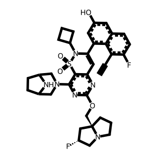 C#Cc1c(F)ccc2cc(O)cc(C3=Cc4nc(OC[C@@]56CCCN5C[C@H](F)C6)nc(N5CC6CCC(C5)N6)c4S(=O)(=O)N3C3CCC3)c12